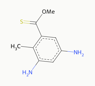 COC(=S)c1cc(N)cc(N)c1C